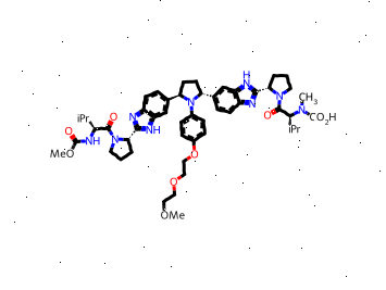 COCCOCCOc1ccc(N2[C@@H](c3ccc4nc([C@@H]5CCCN5C(=O)[C@@H](NC(=O)OC)C(C)C)[nH]c4c3)CC[C@@H]2c2ccc3nc([C@@H]4CCCN4C(=O)[C@H](C(C)C)N(C)C(=O)O)[nH]c3c2)cc1